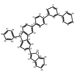 c1ccc(-c2cccc(-c3ccc(-c4ccc5c(c4)c4cc(-c6cc7ccccc7o6)ccc4n5-c4ccccc4)cc3)c2)cc1